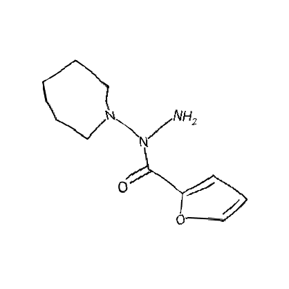 NN(C(=O)c1ccco1)N1CCCCC1